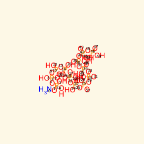 N.O=P(O)(O)OP(=O)(O)OP(=O)(O)OP(=O)(O)OP(=O)(O)OP(=O)(O)OP(=O)(O)OP(=O)(O)OP(=O)(O)OP(=O)(O)OP(=O)(O)OP(=O)(O)O